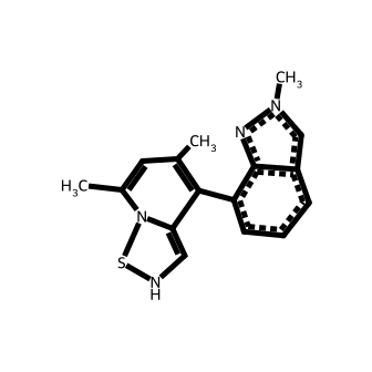 CC1=CC(C)=C(c2cccc3cn(C)nc23)C2=CNSN12